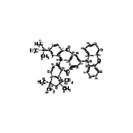 CC(C)(C)c1ccc2c(c1)B1c3ccc4c(c3Oc3cc(N5c6ccccc6Oc6ccccc65)cc(c31)O2)C(C)(C)CC4(C)C